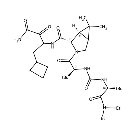 CCN(CC)C(=O)[C@@H](NC(=O)N[C@H](C(=O)N1CC2[C@@H]([C@H]1C(=O)NC(CC1CCC1)C(=O)C(N)=O)C2(C)C)C(C)(C)C)C(C)(C)C